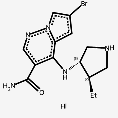 CC[C@@H]1CNC[C@H]1Nc1c(C(N)=O)cnn2cc(Br)cc12.I